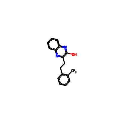 Oc1nc2ccccc2nc1CCc1ccccc1C(F)(F)F